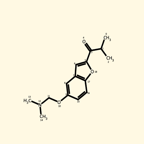 CC(C)C(=O)c1cc2cc(OCN(C)C)ccc2o1